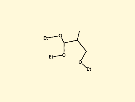 CCOCC(C)C(OCC)OCC